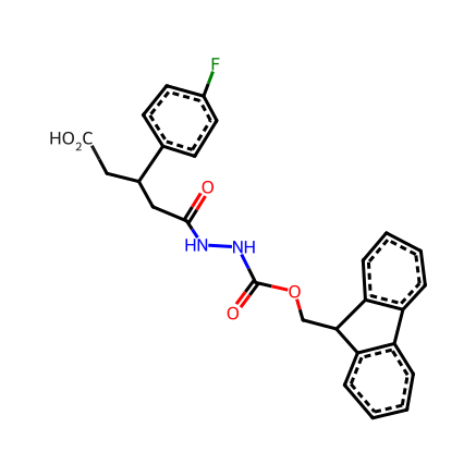 O=C(O)CC(CC(=O)NNC(=O)OCC1c2ccccc2-c2ccccc21)c1ccc(F)cc1